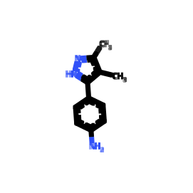 Cc1c(C(F)(F)F)n[nH]c1-c1ccc(N)cc1